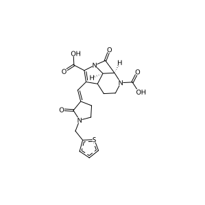 O=C(O)C1=C(/C=C2\CCN(Cc3cccs3)C2=O)C2CCN(C(=O)O)[C@@H]3C(=O)N1[C@H]23